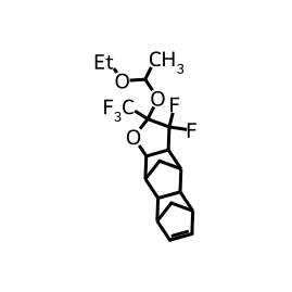 CCOC(C)OC1(C(F)(F)F)OC2C3CC(C4C5C=CC(C5)C34)C2C1(F)F